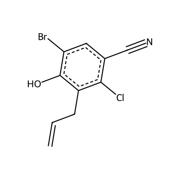 C=CCc1c(O)c(Br)cc(C#N)c1Cl